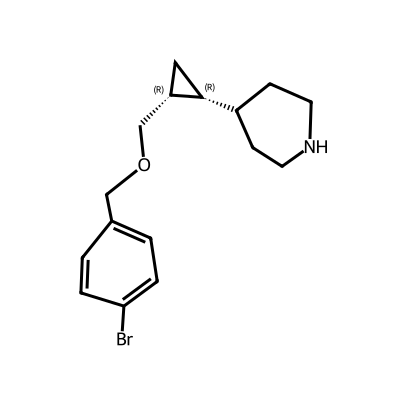 Brc1ccc(COC[C@@H]2C[C@@H]2C2CCNCC2)cc1